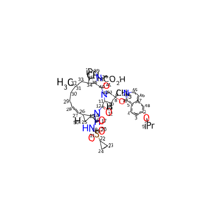 CC(C)Oc1ccc2c(O[C@]3(C)C[C@H]4C(=O)N[C@]5(C(=O)NS(=O)(=O)C6CC6)C[C@H]5/C=C\CC[C@H](C)C[C@@H](C)[C@H](N(C(=O)O)C(C)C)C(=O)N4C3)nccc2c1